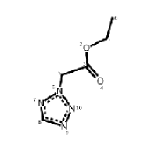 CCOC(=O)Cn1ncnn1